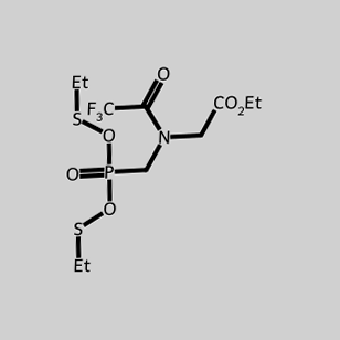 CCOC(=O)CN(CP(=O)(OSCC)OSCC)C(=O)C(F)(F)F